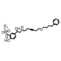 CS(=O)(=O)Nc1cc(C(O)CNCCC#CCCOCCCCc2ccccc2)ccc1O